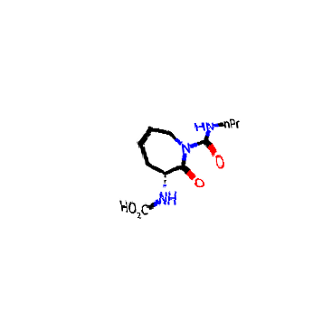 CCCNC(=O)N1CCCC[C@@H](NC(=O)O)C1=O